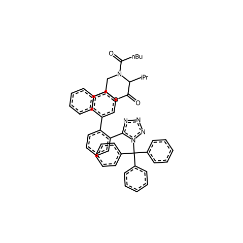 CCCCC(=O)N(Cc1ccc(-c2ccccc2-c2nnnn2C(c2ccccc2)(c2ccccc2)c2ccccc2)cc1)C(C(=O)OCc1ccccc1)C(C)C